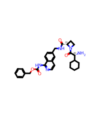 N[C@@H](C(=O)N1CC[C@H]1C(=O)NCc1ccc2c(NC(=O)OCc3ccccc3)nccc2c1)C1CCCCC1